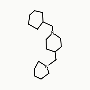 C1CCC(CN2CCC(CN3CCCCC3)CC2)CC1